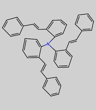 C(=Cc1ccccc1N(c1ccccc1C=Cc1ccccc1)c1ccccc1C=Cc1ccccc1)c1ccccc1